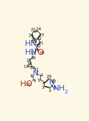 Nc1ccc(CCN(CCO)CC2CC2CCNC(=O)c2cc3ccccc3[nH]2)cn1